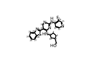 OCC1CCC(Nc2nc(Nc3ccncc3F)ncc2-c2nc3ccccc3s2)C1